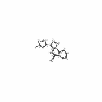 Cc1cc(-c2nnn3c2[nH]c(=O)c2ccccc23)no1